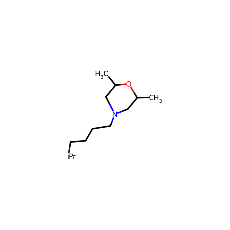 CC(C)CCCCN1CC(C)OC(C)C1